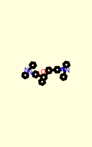 c1ccc(-c2nc3ccccc3n2-c2ccc(-c3ccc4oc5c(-c6ccc(-n7c(-c8ccccc8)nc8ccccc87)cc6)c6ccccc6cc5c4c3)cc2)cc1